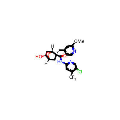 COc1cc(C[C@]2(C(=O)Nc3cc(C(F)(F)F)c(Cl)cn3)C[C@H]3O[C@@H]2C[C@@H]3O)ccn1